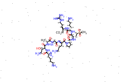 C[C@H](NC(=O)[C@@H](NC(=O)[C@@H](N)CCCCN)[C@@H](O)CN)C(=O)NCC(=O)/N=C(\CCCN)C(=O)N1CCC[C@H]1C(=O)N[C@@H](CCS(C)(=O)=O)C(=O)N[C@@H](CCCCN)C(=O)N/C(=C\CCNC(=N)N)C(=O)O